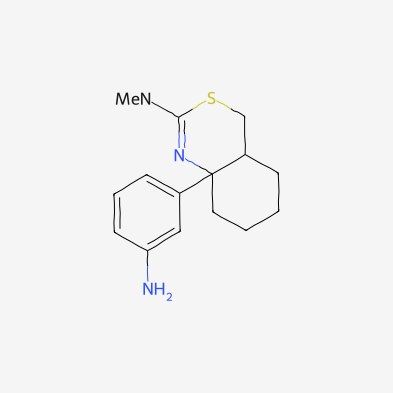 CNC1=NC2(c3cccc(N)c3)CCCCC2CS1